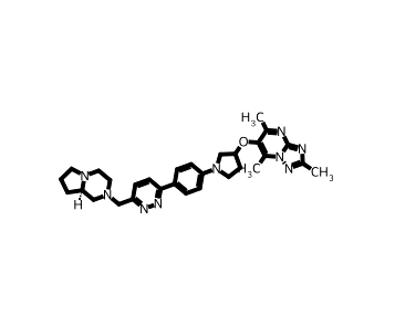 Cc1nc2nc(C)c(OC3CCN(c4ccc(-c5ccc(CN6CCN7CCC[C@@H]7C6)nn5)cc4)C3)c(C)n2n1